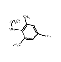 CCOC(=O)Nc1c(C)cc(C)cc1C